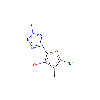 Cc1c(Br)sc(-c2nnn(C)n2)c1[O]